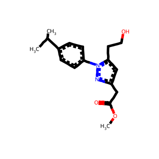 COC(=O)Cc1cc(CCO)n(-c2ccc(C(C)C)cc2)n1